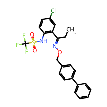 CC/C(=N\OCc1ccc(-c2ccccc2)cc1)c1cc(Cl)ccc1NS(=O)(=O)C(F)(F)F